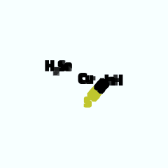 [Cu].[S]=[InH].[SeH2]